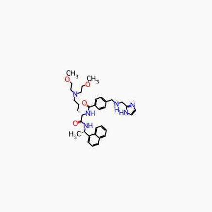 COCCN(CCC[C@H](NC(=O)c1ccc(CNCc2ncc[nH]2)cc1)C(=O)N[C@@H](C)c1cccc2ccccc12)CCOC